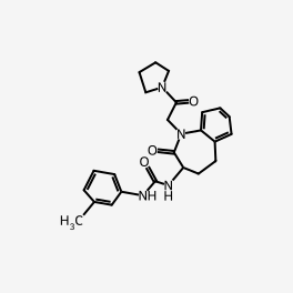 Cc1cccc(NC(=O)NC2CCc3ccccc3N(CC(=O)N3CCCC3)C2=O)c1